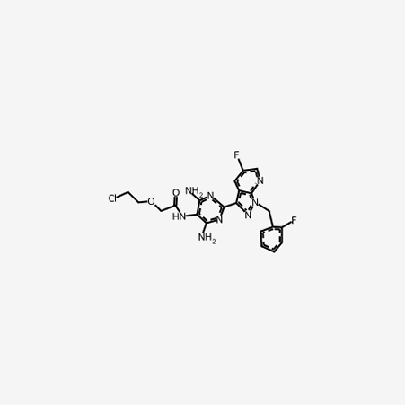 Nc1nc(-c2nn(Cc3ccccc3F)c3ncc(F)cc23)nc(N)c1NC(=O)COCCCl